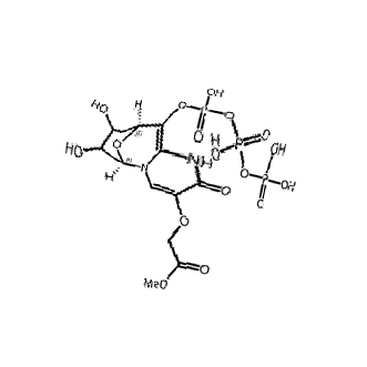 COC(=O)COC1=CN2C(=C(OP(=O)(O)OP(=O)(O)OP(=O)(O)O)[C@H]3O[C@@H]2C(O)C3O)NC1=O